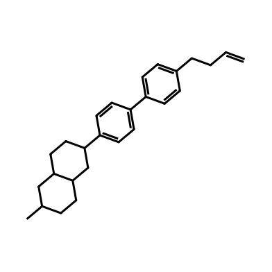 C=CCCc1ccc(-c2ccc(C3CCC4CC(C)CCC4C3)cc2)cc1